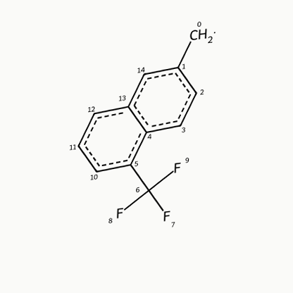 [CH2]c1ccc2c(C(F)(F)F)cccc2c1